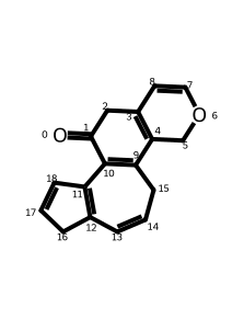 O=C1CC2=C(COC=C2)C2=C1C1=C(C=CC2)CC=C1